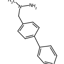 CN(N)Cc1ccc(-c2ccccc2)cc1